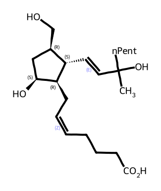 CCCCCC(C)(O)/C=C/[C@H]1[C@H](CO)C[C@H](O)[C@@H]1C/C=C\CCCC(=O)O